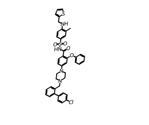 Cc1cc(S(=O)(=O)NC(=O)c2ccc(N3CCN(Cc4ccccc4-c4ccc(Cl)cc4)CC3)cc2Oc2ccccc2)ccc1NCc1cccs1